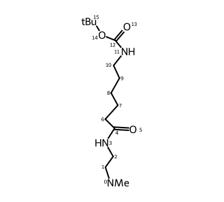 CNCCNC(=O)CCCCCNC(=O)OC(C)(C)C